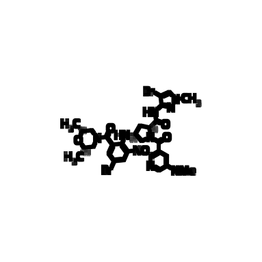 CNc1cncc(C(=O)N2C[C@H](Nc3c(C(=O)N4C[C@@H](C)O[C@@H](C)C4)cc(Br)cc3[N+](=O)[O-])C[C@H]2C(=O)Nc2nn(C)cc2Br)c1